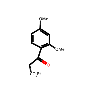 CCOC(=O)CC(=O)c1ccc(OC)cc1OC